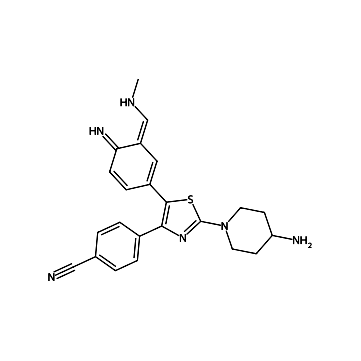 CN/C=C1/C=C(c2sc(N3CCC(N)CC3)nc2-c2ccc(C#N)cc2)C=CC1=N